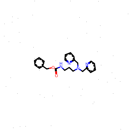 O=C(NCCCN(Cc1ccccn1)Cc1ccccn1)OCc1ccccc1